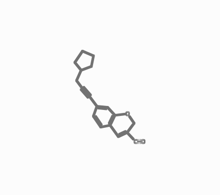 O=CC1=Cc2ccc(C#CCC3CCCC3)cc2OC1